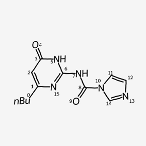 CCCCc1cc(=O)[nH]c(NC(=O)n2ccnc2)n1